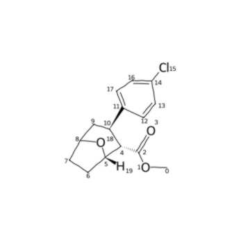 COC(=O)[C@@H]1[C@@H]2CCC(C[C@H]1c1ccc(Cl)cc1)O2